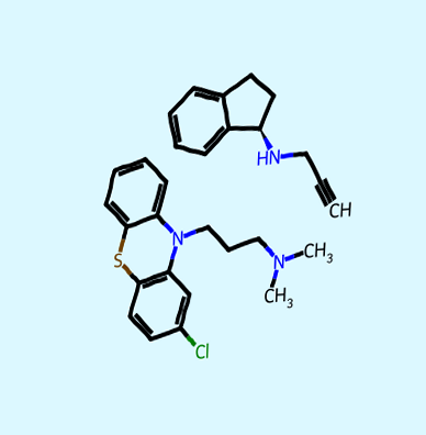 C#CCN[C@@H]1CCc2ccccc21.CN(C)CCCN1c2ccccc2Sc2ccc(Cl)cc21